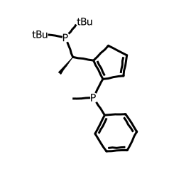 C[C@H](C1=C(P(C)c2ccccc2)C=CC1)P(C(C)(C)C)C(C)(C)C